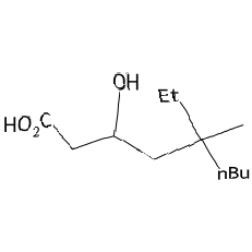 CCCCC(C)(CC)CC(O)CC(=O)O